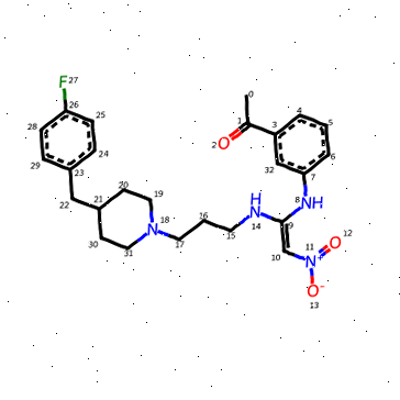 CC(=O)c1cccc(N/C(=C\[N+](=O)[O-])NCCCN2CCC(Cc3ccc(F)cc3)CC2)c1